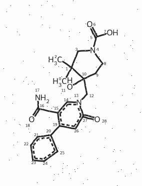 CC1(C)CN(C(=O)O)CCC1(O)Cn1cc(C(N)=O)c(-c2ccccc2)cc1=O